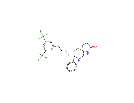 O=C1CCC2(CCC(COCCc3cc(C(F)(F)F)cc(C(F)(F)F)c3)(c3ccccc3)NC2)N1